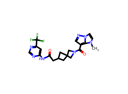 Cn1ccn2ncc(C(=O)N3CC4(CC(CC(=O)Nc5cc(C(F)(F)F)ncn5)C4)C3)c12